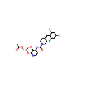 CC(=O)OCC1COc2c(NC(=O)N3CCC(=Cc4c(F)cc(Cl)cc4F)CC3)ccnc2O1